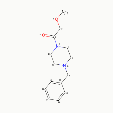 O=C(COC(F)(F)F)N1CCN(Cc2ccccc2)CC1